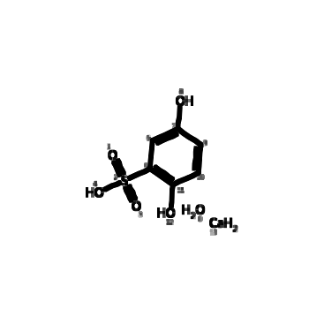 O.O=S(=O)(O)c1cc(O)ccc1O.[CaH2]